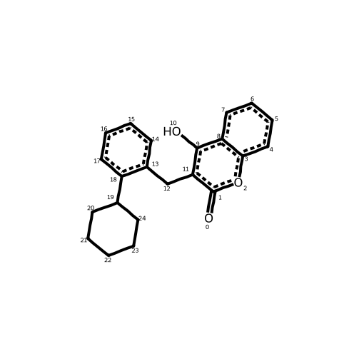 O=c1oc2ccccc2c(O)c1Cc1ccccc1C1CCCCC1